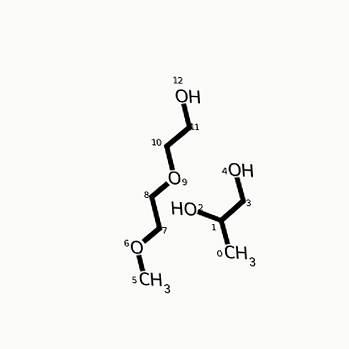 CC(O)CO.COCCOCCO